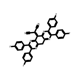 N#CC(C#N)=C1c2nc(-c3ccc(F)cc3)c(-c3ccc(F)cc3)nc2Cc2nc(-c3ccc(F)cc3)c(-c3ccc(F)cc3)nc21